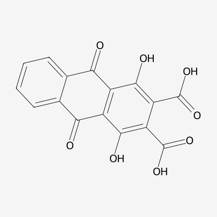 O=C(O)c1c(O)c2c(c(O)c1C(=O)O)C(=O)c1ccccc1C2=O